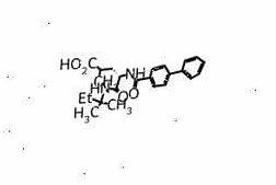 CCC(C)(C)NC(=O)[C@H](CC(C)C(=O)O)NC(=O)c1ccc(-c2ccccc2)cc1